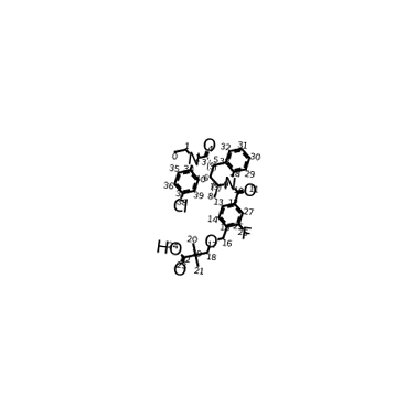 CCN(C(=O)[C@H]1C[C@H](C)N(C(=O)c2ccc(COCC(C)(C)C(=O)O)c(F)c2)c2ccccc21)c1ccc(Cl)cc1